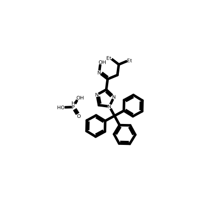 CCC(CC)CC(=NO)c1ncn(C(c2ccccc2)(c2ccccc2)c2ccccc2)n1.O=[PH](O)O